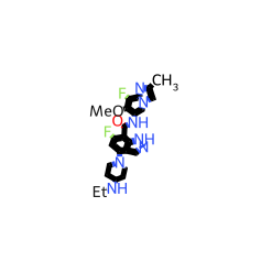 CCNC1CCN(c2cc(F)c(C(=O)Nc3cn4cc(C)nc4c(F)c3OC)c3[nH]ncc23)CC1